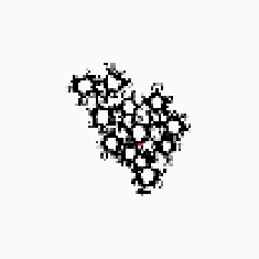 c1ccc([Si](c2ccccc2)(c2cccc(-n3c4ccccc4c4ccccc43)c2)c2ccc(-c3ccccc3-n3c4ccccc4c4ccccc43)c(-n3c4ccccc4c4ccccc43)c2)cc1